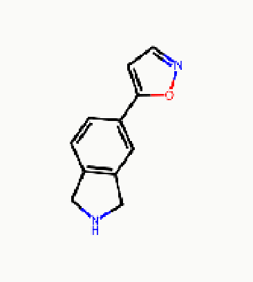 c1cc(-c2ccc3c(c2)CNC3)on1